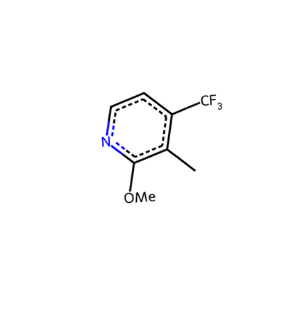 COc1nccc(C(F)(F)F)c1C